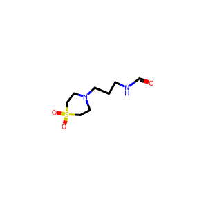 O=[C]NCCCN1CCS(=O)(=O)CC1